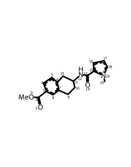 COC(=O)c1ccc2c(c1)CCC(NC(=O)c1cccn1C)C2